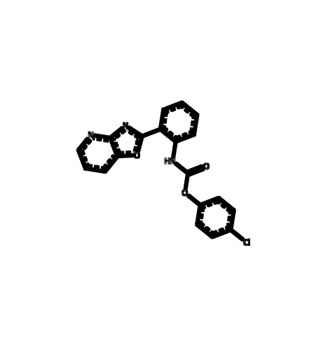 O=C(Nc1ccccc1-c1nc2ncccc2o1)Oc1ccc(Cl)cc1